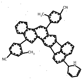 Cc1cc(C#N)ccc1-c1cc2c3cc4c(cc3c(-c3ccc(C#N)cc3C)cc2c2ccccc12)-c1cccc2c(C3C=CC=CN3)ccc-4c12